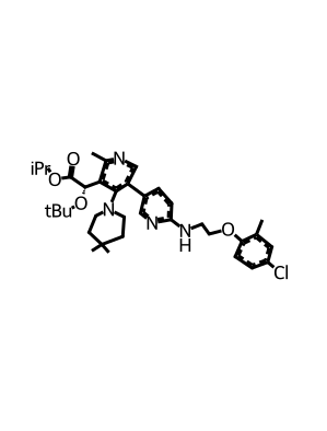 Cc1cc(Cl)ccc1OCCNc1ccc(-c2cnc(C)c([C@H](OC(C)(C)C)C(=O)OC(C)C)c2N2CCC(C)(C)CC2)cn1